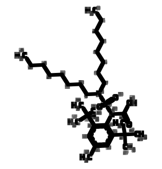 CCCCCCCCN(CCCCCCCC)S(=O)(=O)N(C(=O)O)c1c(C(C)(C)C)cc(C)cc1C(C)(C)C